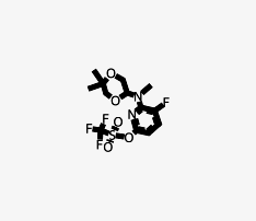 CN(c1nc(OS(=O)(=O)C(F)(F)F)ccc1F)C1COC(C)(C)CO1